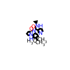 CC(C)(C)c1ccc(N(C(=O)[C@H]2CCCN2)C(C(=O)NC2CC2)c2cccnc2)cc1